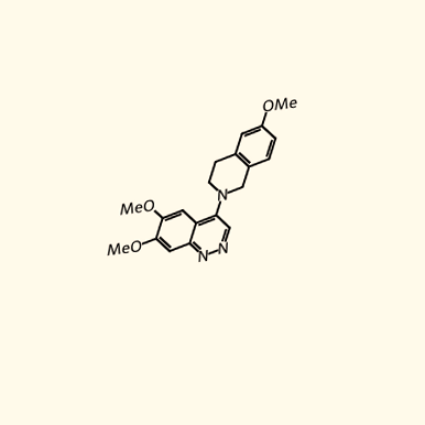 COc1ccc2c(c1)CCN(c1cnnc3cc(OC)c(OC)cc13)C2